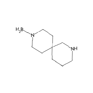 BN1CCC2(CCCNC2)CC1